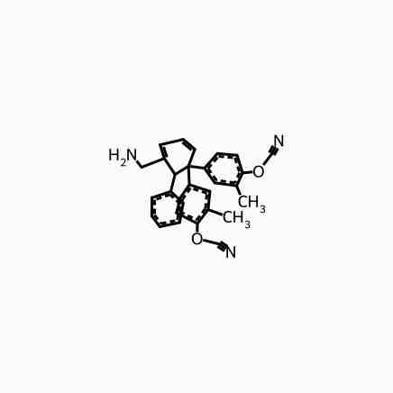 Cc1cc(C2(c3ccc(OC#N)c(C)c3)C=CC=C(CN)C2c2ccccc2)ccc1OC#N